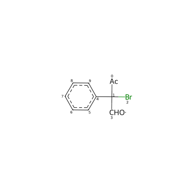 CC(=O)C(Br)([C]=O)c1ccccc1